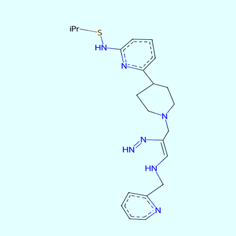 CC(C)SNc1cccc(C2CCN(C/C(=C/NCc3ccccn3)N=N)CC2)n1